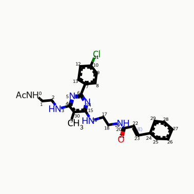 CC(=O)NCCNc1nc(-c2ccc(Cl)cc2)nc(NCCNC(=O)/C=C/c2ccccc2)c1C